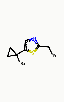 CC(C)Cc1ncc(C2(C(C)(C)C)CC2)s1